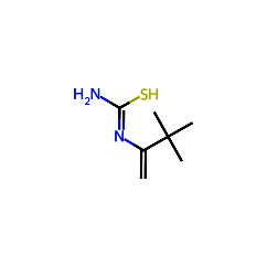 C=C(/N=C(/N)S)C(C)(C)C